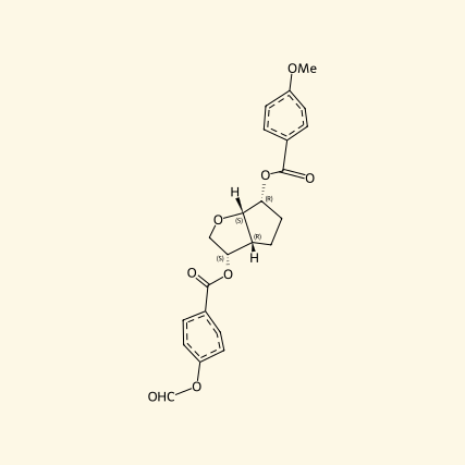 COc1ccc(C(=O)O[C@@H]2CC[C@H]3[C@@H]2OC[C@H]3OC(=O)c2ccc(OC=O)cc2)cc1